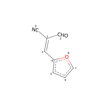 N#CC(C=O)=Cc1ccco1